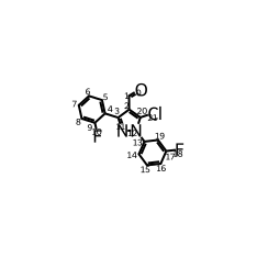 O=Cc1c(-c2ccccc2F)nn(-c2cccc(F)c2)c1Cl